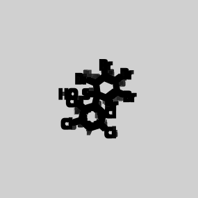 O=S(=O)(O)C1(c2c(Cl)c(Cl)cc(Cl)c2Cl)C(Br)=C(Br)C(Br)=C(Br)C1Br